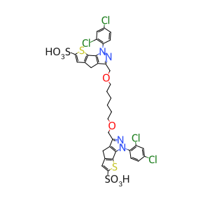 O=S(=O)(O)c1cc2c(s1)-c1c(c(COCCCCCCOCc3nn(-c4ccc(Cl)cc4Cl)c4c3Cc3cc(S(=O)(=O)O)sc3-4)nn1-c1ccc(Cl)cc1Cl)C2